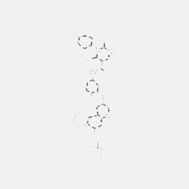 Cn1cc(C(=O)Nc2ccc(Oc3ccnc4cc(OCC(C)(C)O)c5c(c34)OCCO5)c(F)c2)c(=O)n(-c2ccc(F)cc2)c1=O